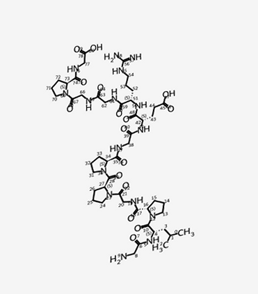 CC(C)C[C@H](NC(=O)CN)C(=O)N1CCC[C@H]1C(=O)NCC(=O)N1CCC[C@H]1C(=O)N1CCC[C@H]1C(=O)NCC(=O)N[C@@H](CCC(=O)O)C(=O)N[C@@H](CCCNC(=N)N)C(=O)NCC(=O)NCC(=O)N1CCC[C@H]1C(=O)NCC(=O)O